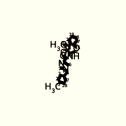 Cc1ccc(Cn2cnc(C(=O)N[C@H]3COc4ccccc4N(C)C3=O)c2)cc1